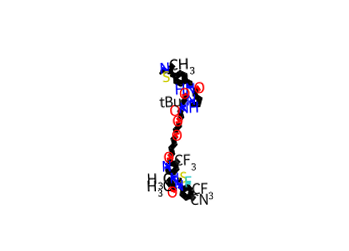 Cc1ncsc1-c1ccc(CNC(=O)C2CCCN2C(=O)C(NC(=O)COCCOCCCCOc2ncc(N3C(=S)N(c4ccc(C#N)c(C(F)(F)F)c4F)C(=O)C3(C)C)cc2C(F)(F)F)C(C)(C)C)cc1